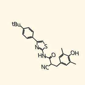 Cc1cc(CC(C#N)C(=O)Nc2nc(-c3ccc(C(C)(C)C)cc3)cs2)cc(C)c1O